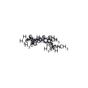 CCCNC/C(=N/C)NCC1C=C2C=CC(C(/C=C\CCN/C(CN(C)CCC)=N\C(C)Cl)CC)C(C)CC2C(C)C1C